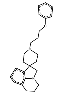 c1ccc(OCCCN2CCC3(CC2)CN2CCCc4cccc3c42)cc1